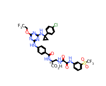 O=C(NC[C@H](NC(=O)c1ccc(Nc2nc(NC3(c4ccc(Cl)cc4)CC3)nc(OCC(F)(F)F)n2)cc1)C(=O)O)C(=O)Nc1cccc(S(=O)(=O)C(F)(F)F)c1